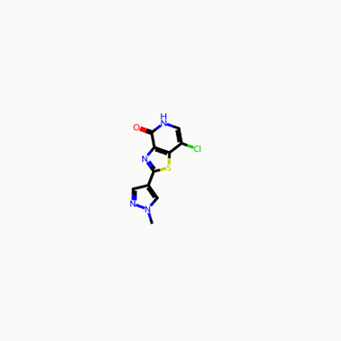 Cn1cc(-c2nc3c(=O)[nH]cc(Cl)c3s2)cn1